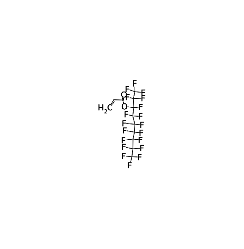 C=CC(=O)OC(F)(C(F)(F)C(F)(F)F)C(F)(F)C(F)(F)C(F)(F)C(F)(F)C(F)(F)C(F)(F)F